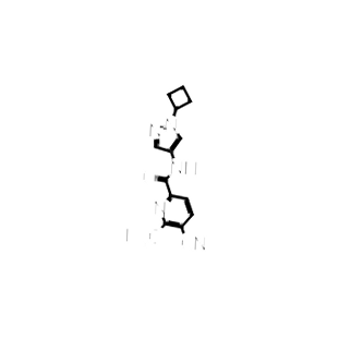 Cc1nc(C(=O)Nc2cnn(C3CCC3)c2)ccc1C#N